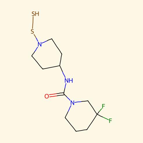 O=C(NC1CCN(SS)CC1)N1CCCC(F)(F)C1